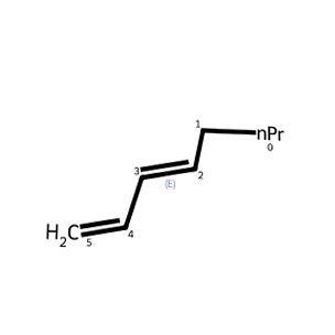 [CH2]CCC/C=C/C=C